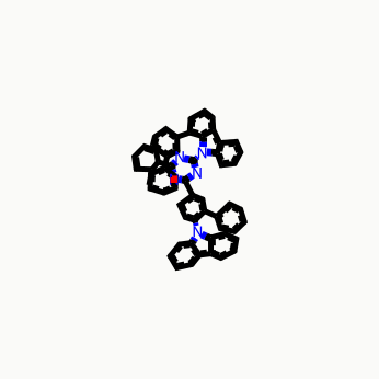 CC1C=CC=CC1c1nc(-c2ccc(-n3c4ccccc4c4ccccc43)c(-c3ccccc3)c2)nc(-n2c3ccccc3c3cccc(-c4cccc(-c5ccccc5)c4)c32)n1